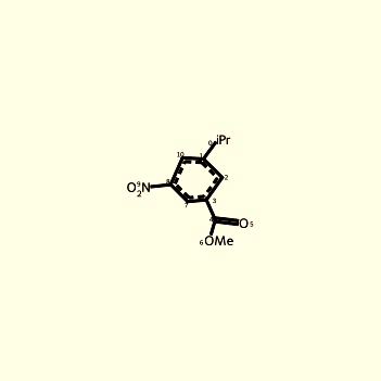 [CH2]C(C)c1cc(C(=O)OC)cc([N+](=O)[O-])c1